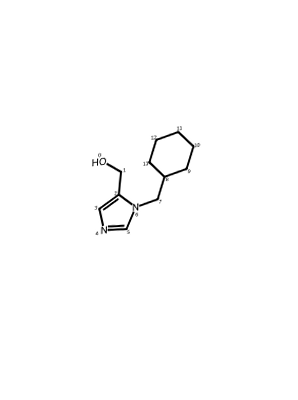 OCc1cncn1CC1CCCCC1